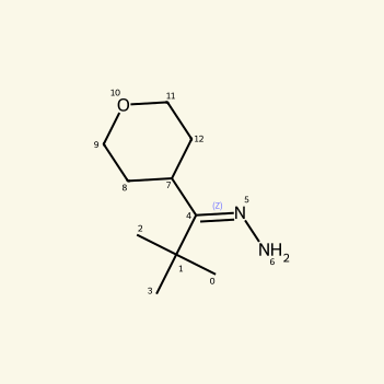 CC(C)(C)/C(=N\N)C1CCOCC1